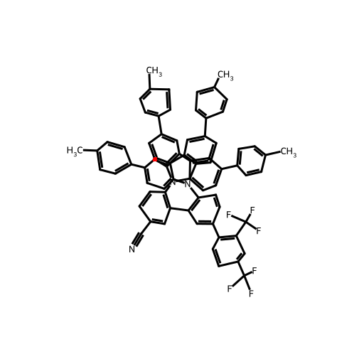 Cc1ccc(-c2ccc3c(c2)c2cc(-c4ccc(C)cc4)ccc2n3-c2ccc(C#N)cc2-c2cc(-c3ccc(C(F)(F)F)cc3C(F)(F)F)ccc2-n2c3ccc(-c4ccc(C)cc4)cc3c3cc(-c4ccc(C)cc4)ccc32)cc1